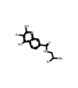 CCCCC(CC)CNC(=O)c1ccc2c(O)c(C(C)=O)c(O)nc2c1